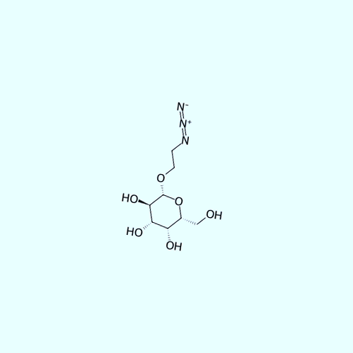 [N-]=[N+]=NCCO[C@@H]1O[C@H](CO)[C@H](O)[C@H](O)[C@H]1O